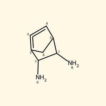 NC1C2=C=CC(C2)C1N